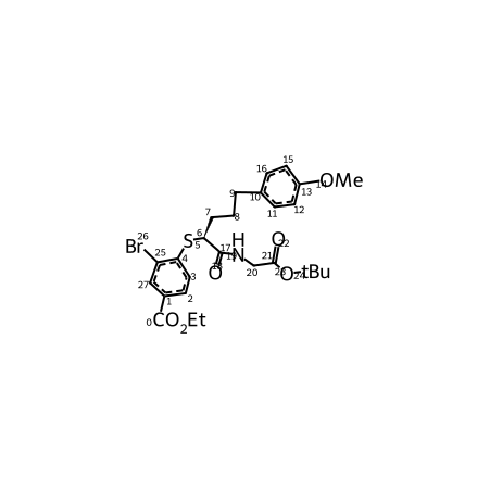 CCOC(=O)c1ccc(S[C@@H](CCCc2ccc(OC)cc2)C(=O)NCC(=O)OC(C)(C)C)c(Br)c1